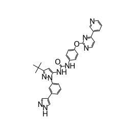 CC(C)(C)c1cc(NC(=O)Nc2ccc(Oc3nccc(-c4cccnc4)n3)cc2)n(-c2cccc(-c3cn[nH]c3)c2)n1